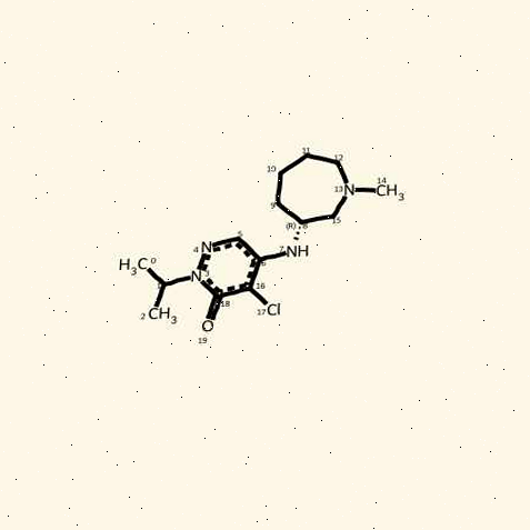 CC(C)n1ncc(N[C@@H]2CCCCN(C)C2)c(Cl)c1=O